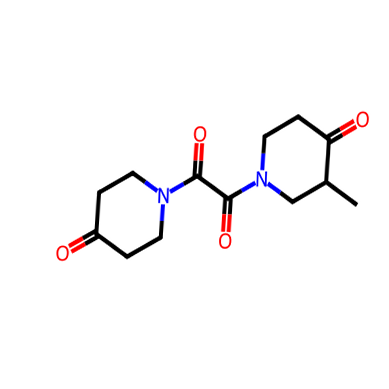 CC1CN(C(=O)C(=O)N2CCC(=O)CC2)CCC1=O